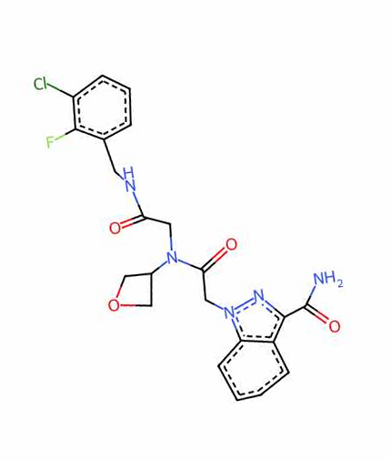 NC(=O)c1nn(CC(=O)N(CC(=O)NCc2cccc(Cl)c2F)C2COC2)c2ccccc12